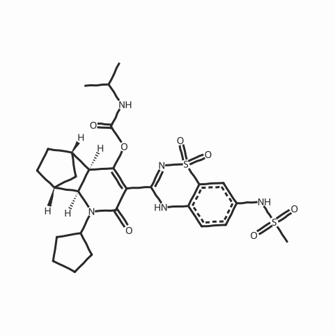 CC(C)NC(=O)OC1=C(C2=NS(=O)(=O)c3cc(NS(C)(=O)=O)ccc3N2)C(=O)N(C2CCCC2)[C@H]2[C@@H]3CC[C@@H](C3)[C@@H]12